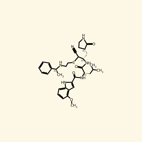 COc1cccc2[nH]c(C(=O)N[C@@H](CC(C)C)C(=O)N[C@@H](C[C@@H]3CCNC3=O)C(C#N)SCCN[C@@H](C)c3ccccc3)cc12